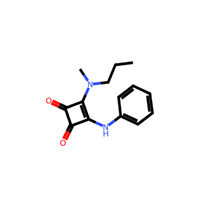 CCCN(C)c1c(Nc2ccccc2)c(=O)c1=O